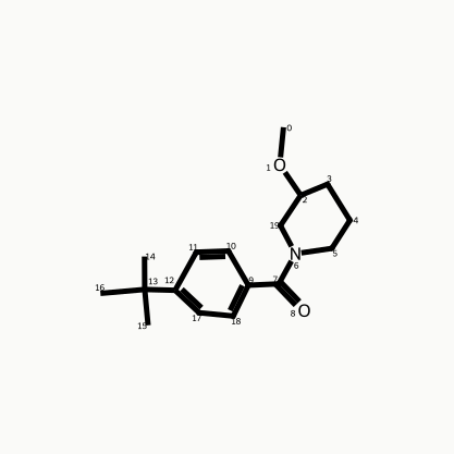 COC1CCCN(C(=O)c2ccc(C(C)(C)C)cc2)C1